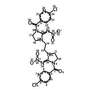 O=C(c1ccc(Cl)nc1)N1CCN(CCN2CCN(C(=O)c3ccc(Cl)nc3)C2=N[N+](=O)[O-])C1=N[N+](=O)[O-]